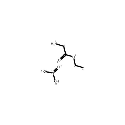 CCOC(=O)CN.O=[N+]([O-])O